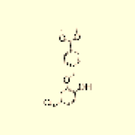 COC(OC)c1ccc(COc2cc(C=O)ccc2O)cc1